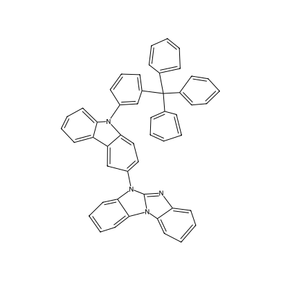 c1ccc(C(c2ccccc2)(c2ccccc2)c2cccc(-n3c4ccccc4c4cc(-n5c6ccccc6n6c7ccccc7nc56)ccc43)c2)cc1